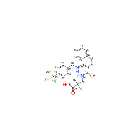 CC(C)(CNC(=O)c1ccc2ccccc2c1NCc1ccc(C(F)(F)F)cc1)C(=O)O